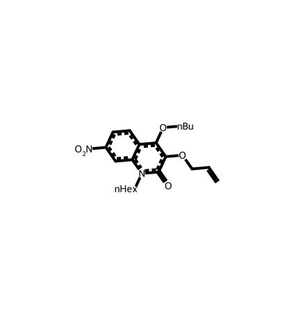 C=CCOc1c(OCCCC)c2ccc([N+](=O)[O-])cc2n(CCCCCC)c1=O